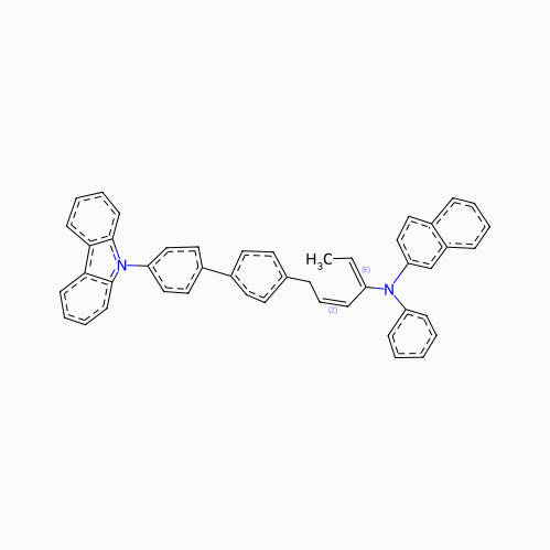 C/C=C(\C=C/Cc1ccc(-c2ccc(-n3c4ccccc4c4ccccc43)cc2)cc1)N(c1ccccc1)c1ccc2ccccc2c1